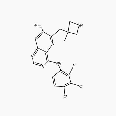 COc1cc2ncnc(Nc3ccc(Cl)c(Cl)c3F)c2nc1CC1(C)CNC1